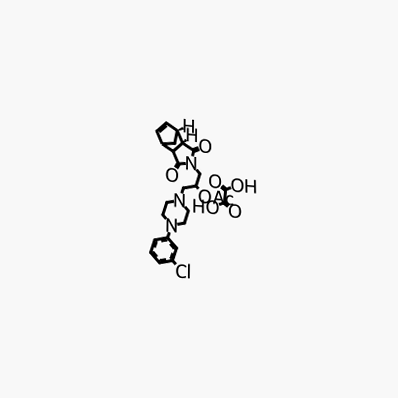 CC(=O)OC(CN1CCN(c2cccc(Cl)c2)CC1)CN1C(=O)C2C3C=C[C@@H](C3)[C@@H]2C1=O.O=C(O)C(=O)O